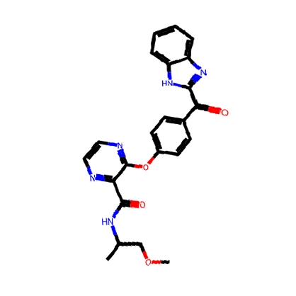 COCC(C)NC(=O)c1nccnc1Oc1ccc(C(=O)c2nc3ccccc3[nH]2)cc1